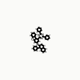 c1ccc(-c2nc(-c3ccccc3)nc(-c3cc(-n4c5ccccc5c5c6ccccc6ccc54)cc4oc5ccccc5c34)n2)cc1